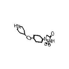 O=C1CN([C@H]2CC[C@H](OC3CCNCC3)CC2)S(=O)(=O)N1